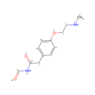 CNCCOc1ccc(CC(=O)NC=O)cc1